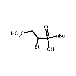 CCCCP(=O)(O)C(CC)CC(=O)O